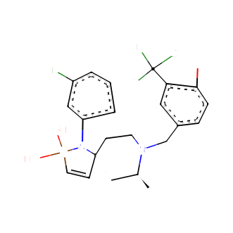 C[C@H]1C[C@@]2(C=CS(O)(O)N2c2cccc(F)c2)CCN1Cc1ccc(O)c(C(F)(F)F)c1